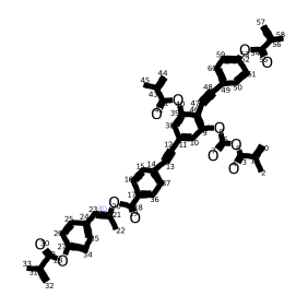 C=C(C)C(=O)OC(=O)Oc1cc(C#Cc2ccc(C(=O)O/C(C)=C/c3ccc(OC(=O)C(=C)C)cc3)cc2)cc(OC(=O)C(=C)C)c1C#Cc1ccc(OC(=O)C(=C)C)cc1